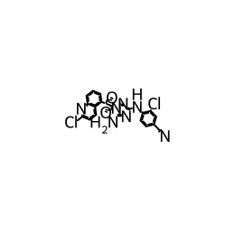 N#Cc1ccc(Nc2nc(N)n(S(=O)(=O)c3cccc4nc(Cl)ccc34)n2)c(Cl)c1